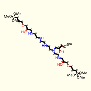 CO[Si](CCCOCC(O)CNCCNCCNCCN(CCNCC(O)COCCC[Si](OC)(OC)OC)CC(O)COC(C)(C)C)(OC)OC